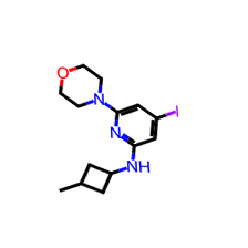 CC1CC(Nc2cc(I)cc(N3CCOCC3)n2)C1